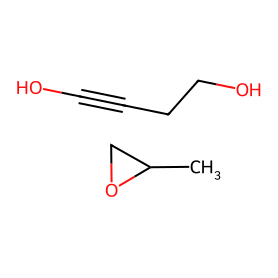 CC1CO1.OC#CCCO